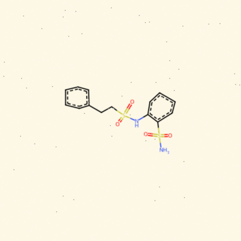 NS(=O)(=O)c1ccccc1NS(=O)(=O)CCc1ccccc1